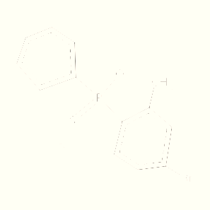 Cc1cc(Br)ccc1P([O-])(=S)c1ccccc1.[K+]